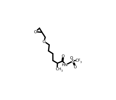 CC(CCCCOCC1CO1)C(=O)NS(=O)(=O)C(F)(F)F